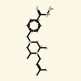 CC(C)=CCN1C(C)CN(Cc2ccc(C(=O)NO)cc2)CC1C